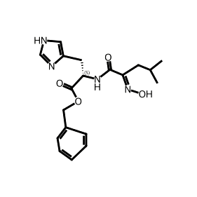 CC(C)CC(=NO)C(=O)N[C@@H](Cc1c[nH]cn1)C(=O)OCc1ccccc1